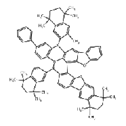 Cc1cc2c(cc1N1c3cc(-c4ccccc4)ccc3B3c4c1cc1c(oc5ccccc51)c4-c1c(ccc4c1sc1cc5c(cc14)C(C)(C)CCC5(C)C)N3c1ccc3c(c1)C(C)(C)CCC3(C)C)C(C)(C)CCC2(C)C